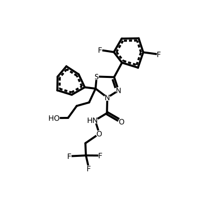 O=C(NOCC(F)(F)F)N1N=C(c2cc(F)ccc2F)SC1(CCCO)c1ccccc1